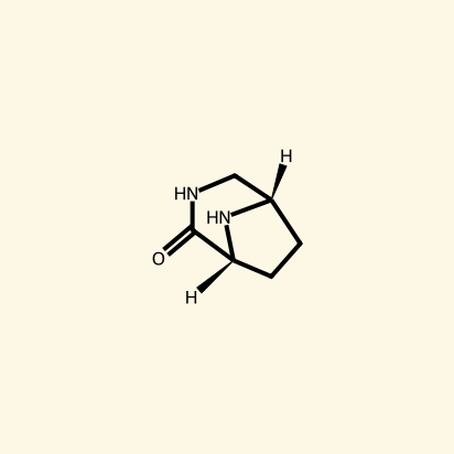 O=C1NC[C@@H]2CC[C@H]1N2